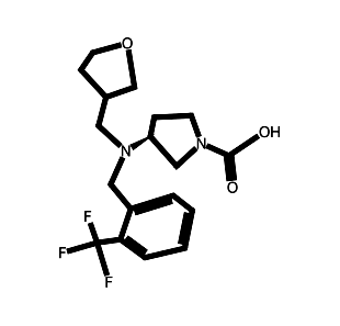 O=C(O)N1CC[C@H](N(Cc2ccccc2C(F)(F)F)CC2CCOC2)C1